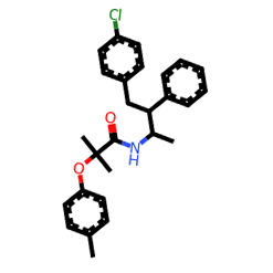 Cc1ccc(OC(C)(C)C(=O)NC(C)C(Cc2ccc(Cl)cc2)c2ccccc2)cc1